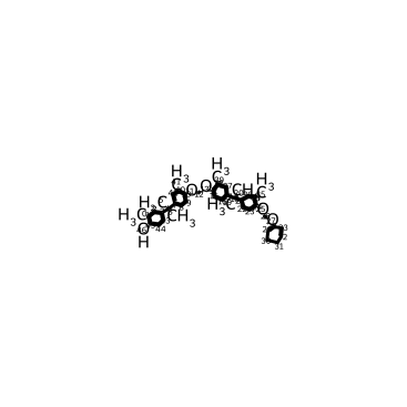 Cc1cc(C(C)(C)c2ccc(OCOc3ccc(C(C)(C)c4ccc(OCOC5=CCCC=C5)c(C)c4)cc3C)c(C)c2)ccc1O